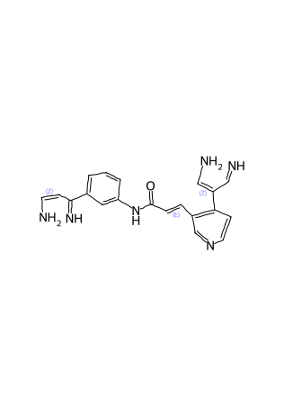 N=C/C(=C\N)c1ccncc1/C=C/C(=O)Nc1cccc(C(=N)/C=C\N)c1